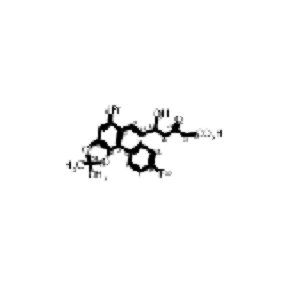 CC(C)c1cc2c(c(-c3ccc(F)cc3)c1/C=C/C(O)CC(=O)CC(=O)O)OC(C)(C)O2